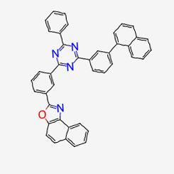 c1ccc(-c2nc(-c3cccc(-c4nc5c(ccc6ccccc65)o4)c3)nc(-c3cccc(-c4cccc5ccccc45)c3)n2)cc1